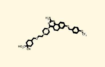 N#CC1(C(=O)O)CCC(COCCN2CCN(c3nc(N)nc4c3CCc3cc(OCc5ccc(OC(F)(F)F)cc5)ccc3-4)CC2)CC1